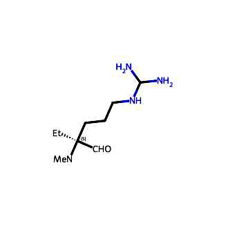 CC[C@@](C=O)(CCCNC(N)N)NC